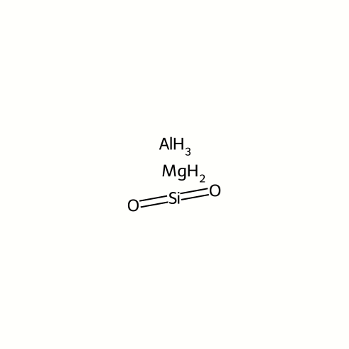 O=[Si]=O.[AlH3].[MgH2]